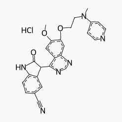 COc1cc2c(C3C(=O)Nc4ccc(C#N)cc43)ncnc2cc1OCCN(C)c1ccncc1.Cl